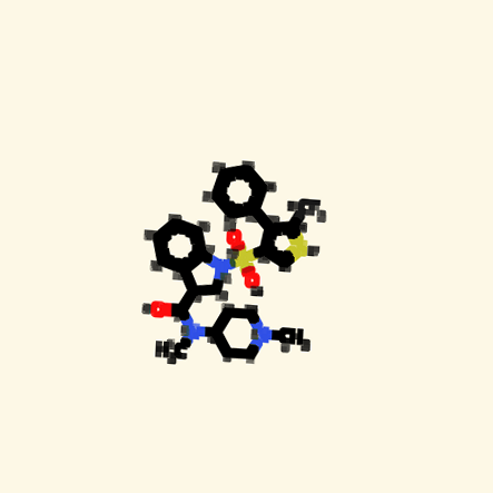 CN1CCC(N(C)C(=O)C2CN(S(=O)(=O)c3csc(C(F)(F)F)c3-c3ccccc3)c3ccccc32)CC1